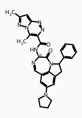 Cc1cc2nnc(C(=O)N[C@@H]3N=Cc4cc(N5CCCC5)cc5c4N(C3=O)C(c3ccccc3)C5)c(C)n2n1